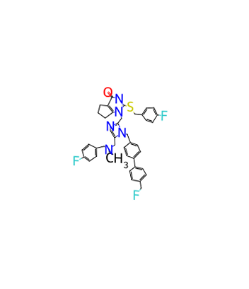 CN(Cc1ccc(F)cc1)Cc1cnc(Cn2c(SCc3ccc(F)cc3)nc(=O)c3c2CCC3)n1Cc1ccc(-c2ccc(CF)cc2)cc1